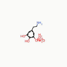 NCCc1cc(O)c(O)c(O)c1.O.O.O